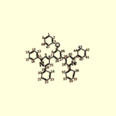 c1ccc(Oc2cc(-c3cc(-c4ccccc4)nc(-c4ccccc4)c3)cc(-c3cc(-c4ccccc4)nc(-c4ccccc4)c3)c2)cc1